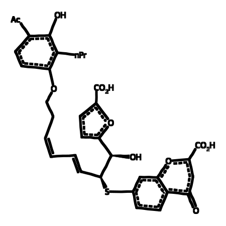 CCCc1c(OCC/C=C\C=C\[C@H](Sc2ccc3c(=O)cc(C(=O)O)oc3c2)[C@H](O)c2ccc(C(=O)O)o2)ccc(C(C)=O)c1O